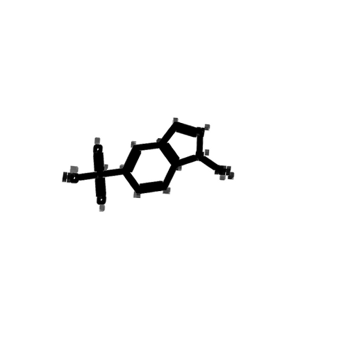 Nn1ncc2cc(S(=O)(=O)O)ccc21